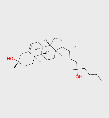 CCCCC(C)(O)CC[C@@H](C)[C@H]1CC[C@H]2[C@@H]3CC=C4C[C@@](C)(O)CC[C@]4(C)[C@H]3CCC12C